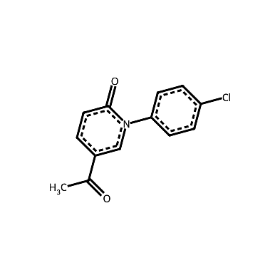 CC(=O)c1ccc(=O)n(-c2ccc(Cl)cc2)c1